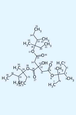 CCC(C)C(C)(CC)OC(=O)CC(O)(CC(=O)OC(C)(CC)C(C)CC)C(=O)OC(C)(CC)C(C)CC